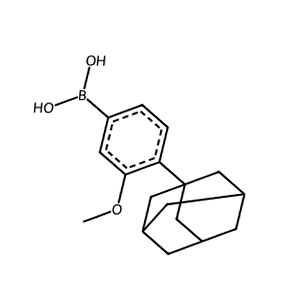 COc1cc(B(O)O)ccc1C12CC3CC(CC(C3)C1)C2